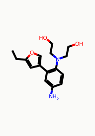 CCc1cc(-c2cc(N)ccc2N(CCO)CCO)co1